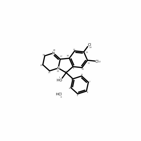 Cl.OC1(c2ccccc2)c2cc(Cl)c(Cl)cc2C2=NCCCN21